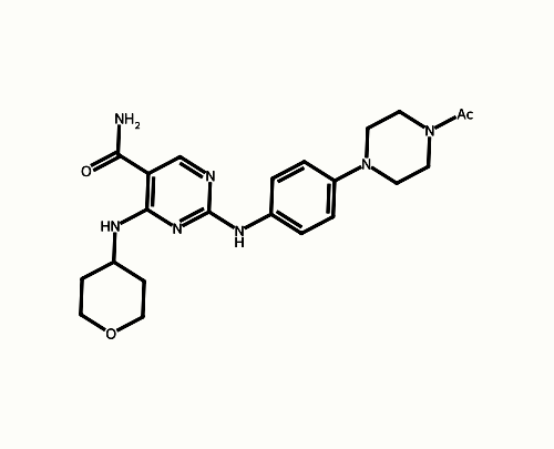 CC(=O)N1CCN(c2ccc(Nc3ncc(C(N)=O)c(NC4CCOCC4)n3)cc2)CC1